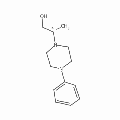 C[C@@H](CO)N1CCN(c2cc[c]cc2)CC1